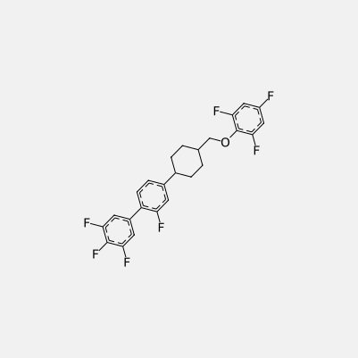 Fc1cc(F)c(OCC2CCC(c3ccc(-c4cc(F)c(F)c(F)c4)c(F)c3)CC2)c(F)c1